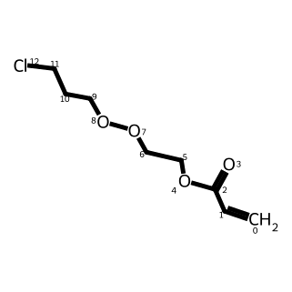 C=CC(=O)OCCOOCCCCl